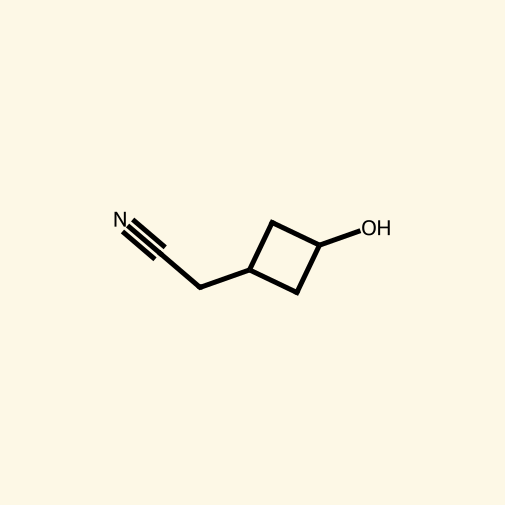 N#CCC1CC(O)C1